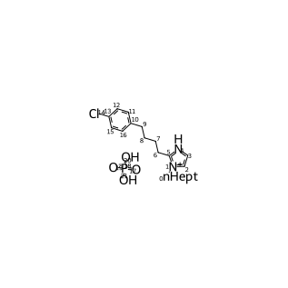 CCCCCCC[n+]1cc[nH]c1CCCCc1ccc(Cl)cc1.O=P([O-])(O)O